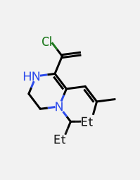 C=C(Cl)C1=C(C=C(C)C)N(C(CC)CC)CCN1